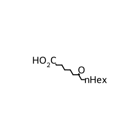 CCCCCCCC(=O)CCCCCC(=O)O